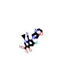 N#Cc1c(-n2cc3c(c2)OCC=N3)c(F)cc2c(=O)c(C(=O)O)cn(C3CC3)c12